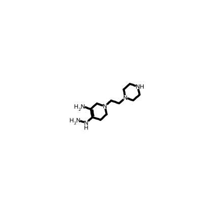 NNC1=C(N)CN(CCN2CCNCC2)CC1